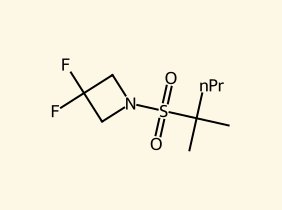 CCCC(C)(C)S(=O)(=O)N1CC(F)(F)C1